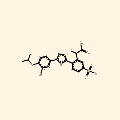 CC(C)Oc1ccc(-c2noc(-c3ccc(S(N)(=O)=O)cc3C(C)C(=O)O)n2)cc1Cl